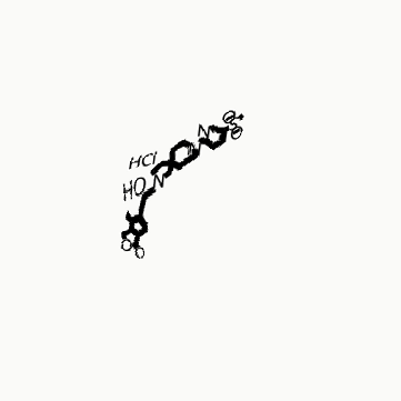 Cc1c([C@@H](O)CN2CCC3(CCN(c4ccc(S(C)(=O)=O)cn4)CC3)C2)ccc2c1COC2=O.Cl